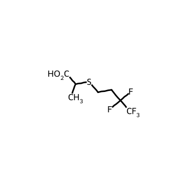 CC(SCCC(F)(F)C(F)(F)F)C(=O)O